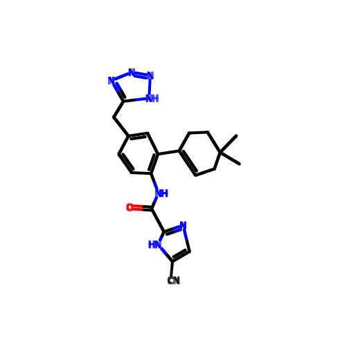 CC1(C)CC=C(c2cc(Cc3nnn[nH]3)ccc2NC(=O)c2ncc(C#N)[nH]2)CC1